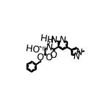 Cn1cc(-c2cnc(N)c(C(=O)N[C@@H](CO)C(=O)OCc3ccccc3)c2)cn1